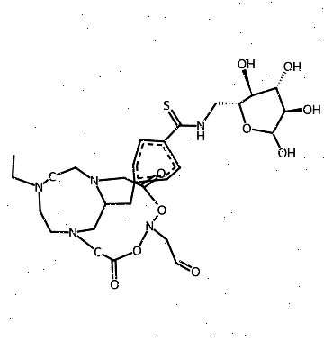 CCN1CCN2CC(=O)ON(CC=O)OC(=O)CN(CC1)C(Cc1ccc(C(=S)NC[C@H]3OC(O)[C@H](O)[C@@H](O)[C@@H]3O)cc1)C2